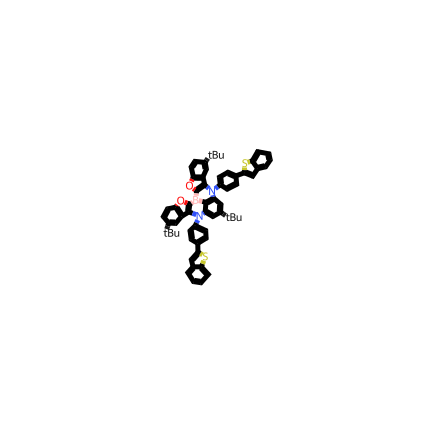 CC(C)(C)c1cc2c3c(c1)N(c1ccc(-c4cc5ccccc5s4)cc1)c1c(oc4ccc(C(C)(C)C)cc14)B3c1oc3ccc(C(C)(C)C)cc3c1N2c1ccc(-c2cc3ccccc3s2)cc1